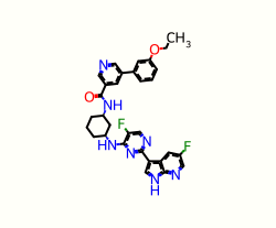 CCOc1cccc(-c2cncc(C(=O)N[C@@H]3CCC[C@H](Nc4nc(-c5c[nH]c6ncc(F)cc56)ncc4F)C3)c2)c1